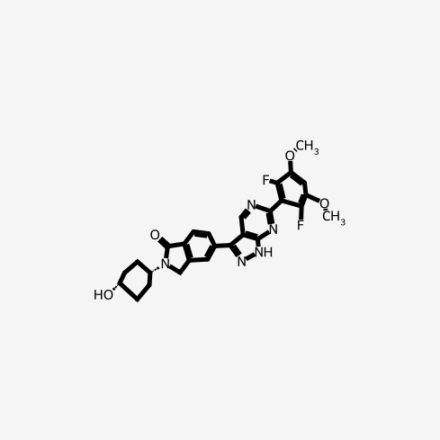 COc1cc(OC)c(F)c(-c2ncc3c(-c4ccc5c(c4)CN([C@H]4CC[C@@H](O)CC4)C5=O)n[nH]c3n2)c1F